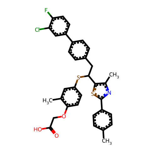 Cc1ccc(-c2nc(C)c(C(Cc3ccc(-c4ccc(F)c(Cl)c4)cc3)Sc3ccc(OCC(=O)O)c(C)c3)s2)cc1